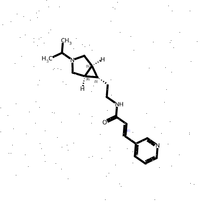 CC(C)N1C[C@@H]2[C@@H](CCNC(=O)/C=C/c3cccnc3)[C@@H]2C1